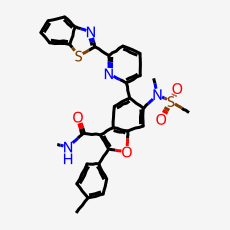 CNC(=O)c1c(-c2ccc(C)cc2)oc2cc(N(C)S(C)(=O)=O)c(-c3cccc(-c4nc5ccccc5s4)n3)cc12